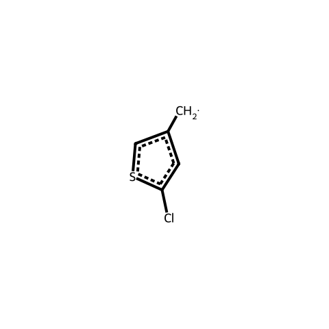 [CH2]c1csc(Cl)c1